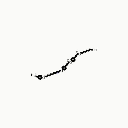 C#CCCCCCCCOC(=O)C#Cc1ccc(OC(=O)C#Cc2ccc(OC/C=C/CCCCCCCCOc3ccc(C=C)cc3)cc2)cc1